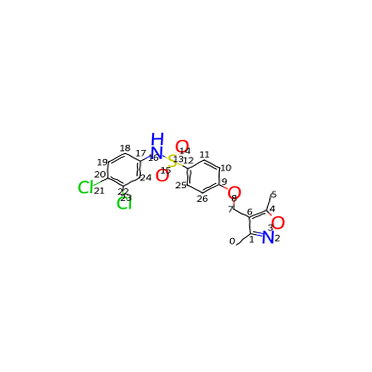 Cc1noc(C)c1COc1ccc(S(=O)(=O)Nc2ccc(Cl)c(Cl)c2)cc1